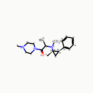 CN1CCN(C(=O)C(N(C(=O)O)[C@@]2(C)C[C@@H]2c2ccccc2)C(C)(C)C)CC1